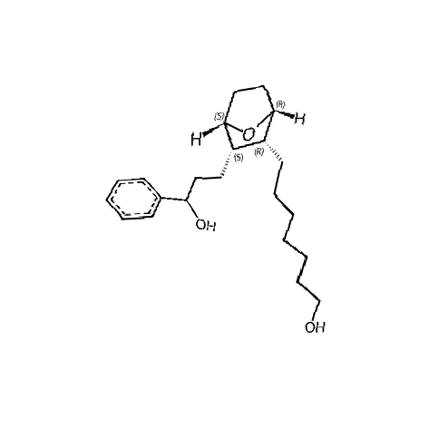 OCCCCCCC[C@@H]1[C@H](CCC(O)c2ccccc2)[C@@H]2CC[C@H]1O2